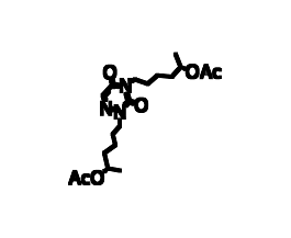 CC(=O)O[C@H](C)CCCCn1ncc(=O)n(CCCC[C@@H](C)OC(C)=O)c1=O